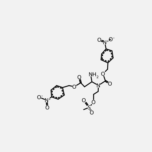 CS(=O)(=O)OCCN(C(=O)OCc1ccc([N+](=O)[O-])cc1)C(N)CC(=O)OCc1ccc([N+](=O)[O-])cc1